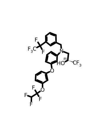 O[C@H](CN(Cc1cccc(C(F)(F)C(F)(F)F)c1)c1cccc(Oc2cccc(OC(F)(F)C(F)F)c2)c1)C(F)(F)F